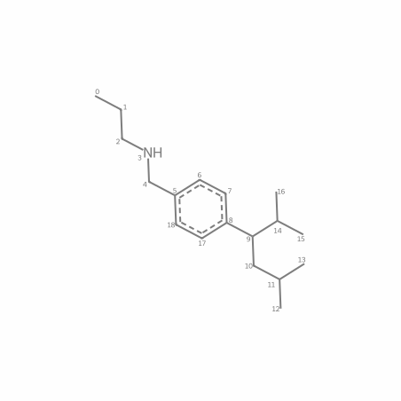 CCCNCc1ccc(C(CC(C)C)C(C)C)cc1